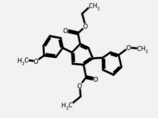 CCOC(=O)c1cc(-c2cccc(OC)c2)c(C(=O)OCC)cc1-c1cccc(OC)c1